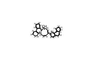 CN1C/C=C(c2ccc3ccc4ccccc4c3n2)\C=C/CN2C3=C(C=CCC3)c3ccccc3C12